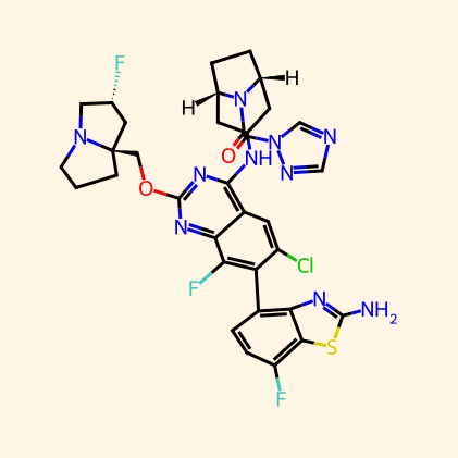 Nc1nc2c(-c3c(Cl)cc4c(NC5C[C@H]6CC[C@@H](C5)N6C(=O)n5cncn5)nc(OC[C@@]56CCCN5C[C@H](F)C6)nc4c3F)ccc(F)c2s1